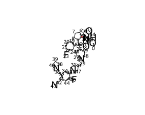 COC(=O)N[C@H]1CCC[C@@H]1C(CN1CCOCC1)(c1cccc(F)c1)C1CCN(CC2CN(c3cc(CN4CCC4)c(C#N)cc3F)C2)CC1